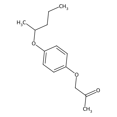 CCCC(C)Oc1ccc(OCC(C)=O)cc1